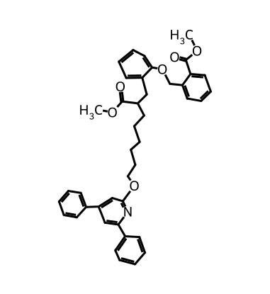 COC(=O)c1ccccc1COc1ccccc1CC(CCCCCCOc1cc(-c2ccccc2)cc(-c2ccccc2)n1)C(=O)OC